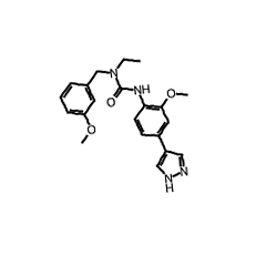 CCN(Cc1cccc(OC)c1)C(=O)Nc1ccc(-c2cn[nH]c2)cc1OC